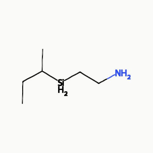 CCC(C)[SiH2]CCN